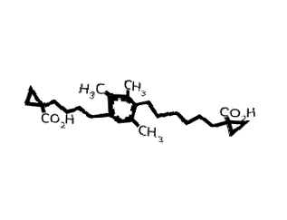 Cc1cc(CCCCC2(C(=O)O)CC2)c(C)c(C)c1CCCCCCC1(C(=O)O)CC1